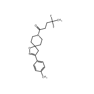 Cc1ccc(C2=NOC3(CCN(C(=O)CCC(C)(F)F)CC3)C2)cc1